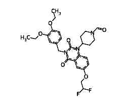 CCOc1ccc(Cn2c(=O)c3cc(OCC(F)F)ccc3n(C3CCN(C=O)CC3)c2=O)cc1OCC